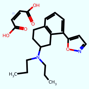 CCCN(CCC)C1CCc2cccc(-c3ccno3)c2C1.O=C(O)/C=C\C(=O)O